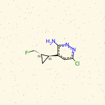 Nc1nnc(Cl)cc1[C@H]1C[C@@H]1CF